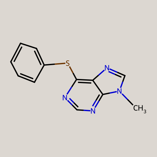 Cn1cnc2c(Sc3ccccc3)ncnc21